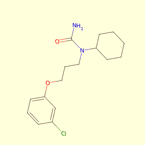 NC(=O)N(CCCOc1cccc(Cl)c1)C1CCCCC1